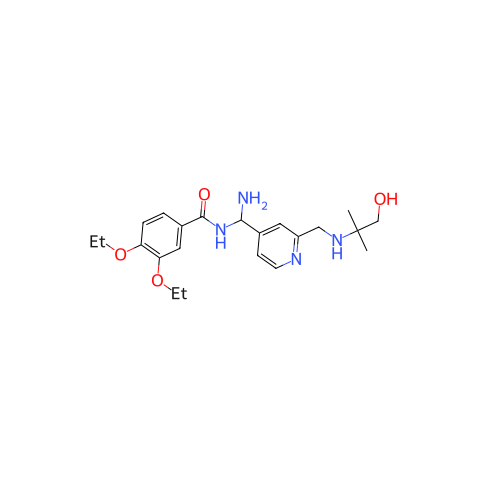 CCOc1ccc(C(=O)NC(N)c2ccnc(CNC(C)(C)CO)c2)cc1OCC